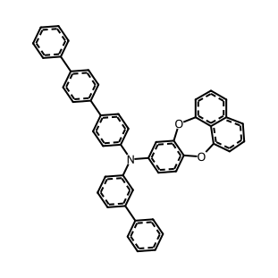 c1ccc(-c2ccc(-c3ccc(N(c4cccc(-c5ccccc5)c4)c4ccc5c(c4)Oc4cccc6cccc(c46)O5)cc3)cc2)cc1